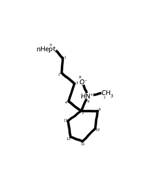 CCCCCCCCCCCC1([NH+](C)[O-])CCCCC1